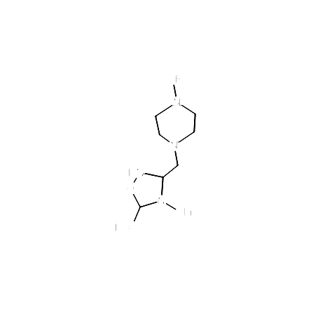 CCCN1C(CN2CCN(C(C)(C)C)CC2)NOC1C